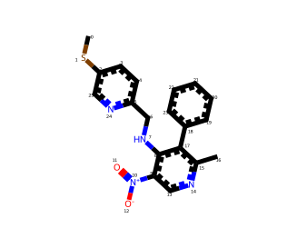 CSc1ccc(CNc2c([N+](=O)[O-])cnc(C)c2-c2ccccc2)nc1